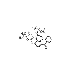 CC(C)(C)OC(=O)Oc1ccc2c(=O)c3ccccc3sc2c1OC(=O)OC(C)(C)C